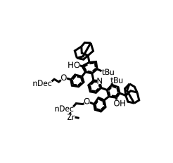 CCCCCCCCCCCCOc1cccc(-c2c(O)c(C34CC5CC(CC(C5)C3)C4)cc(C(C)(C)C)c2-c2cccc(-c3c(C(C)(C)C)cc(C45CC6CC(CC(C6)C4)C5)c(O)c3-c3cccc(OCCCCCCCCCCCC)c3)n2)c1.[CH3][Zr][CH3]